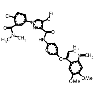 C=Nc1cc(OC)c(OC)cc1/C(=C\C)Oc1ccc(NC(=O)c2nn(-c3ccc(Cl)c(C(=O)N(C)C)c3)cc2OCC)nc1